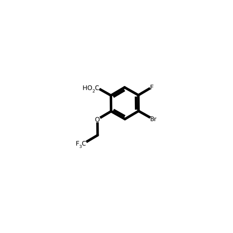 O=C(O)c1cc(F)c(Br)cc1OCC(F)(F)F